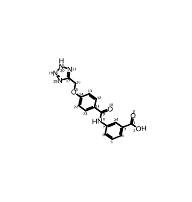 O=C(O)c1cccc(NC(=O)c2ccc(OCc3nn[nH]n3)cc2)c1